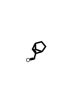 O=[C]C1=CC2CCC1C2